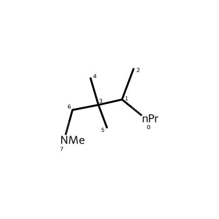 CCCC(C)C(C)(C)CNC